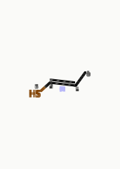 [CH2]/C=C/S